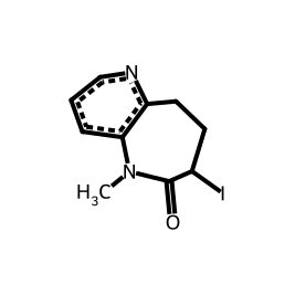 CN1C(=O)C(I)CCc2ncccc21